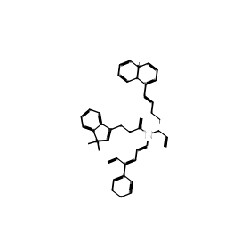 C=C/C(=C\C=C\N(C(=C)CCC1=CC(C)(C)c2ccccc21)[C@H](C=C)CC/C=C/C1=CC=C[C@H]2C=CC=CC12)C1=CCCC=C1